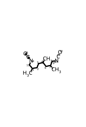 CC(CCC(C)CC(C)CN=C=O)CN=C=O